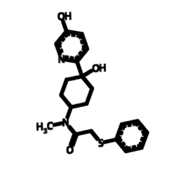 CN(C(=O)CSc1ccccc1)C1CCC(O)(c2ccc(O)cn2)CC1